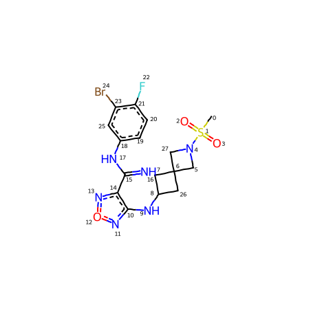 CS(=O)(=O)N1CC2(CC(Nc3nonc3C(=N)Nc3ccc(F)c(Br)c3)C2)C1